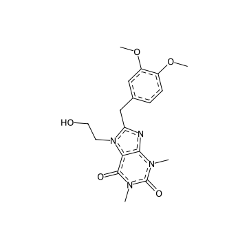 COc1ccc(Cc2nc3c(c(=O)n(C)c(=O)n3C)n2CCO)cc1OC